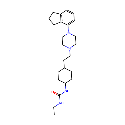 CCNC(=O)NC1CCC(CCN2CCN(c3cccc4c3CCC4)CC2)CC1